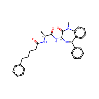 C[C@H](NC(=O)CCCCc1ccccc1)C(=O)N[C@H]1N=C(c2ccccc2)c2ccccc2N(C)C1=O